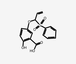 C=CC(Oc1ccc(O)c(C(=O)O)c1)S(=O)(=O)c1ccccc1